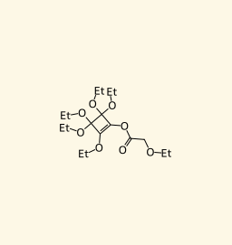 CCOCC(=O)OC1=C(OCC)C(OCC)(OCC)C1(OCC)OCC